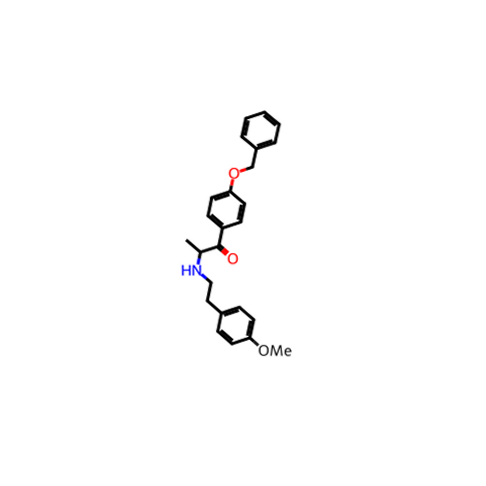 COc1ccc(CCNC(C)C(=O)c2ccc(OCc3ccccc3)cc2)cc1